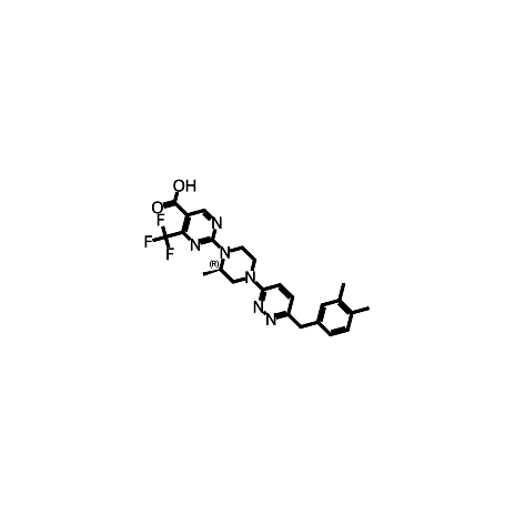 Cc1ccc(Cc2ccc(N3CCN(c4ncc(C(=O)O)c(C(F)(F)F)n4)[C@H](C)C3)nn2)cc1C